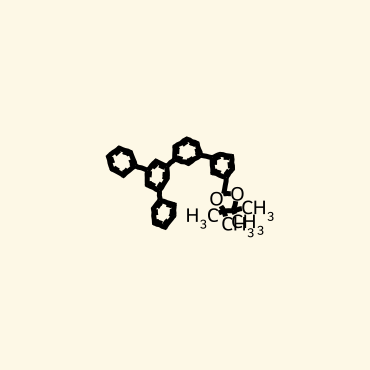 CC1(C)OC(c2cccc(-c3cccc(-c4cc(-c5ccccc5)cc(-c5ccccc5)c4)c3)c2)OC1(C)C